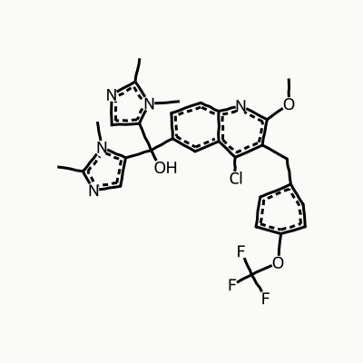 COc1nc2ccc(C(O)(c3cnc(C)n3C)c3cnc(C)n3C)cc2c(Cl)c1Cc1ccc(OC(F)(F)F)cc1